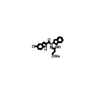 COCCC(=O)N[C@H]1c2ccccc2C[C@H]1NC(=O)c1cc2cc(Cl)ccc2[nH]1